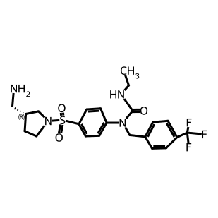 CCNC(=O)N(Cc1ccc(C(F)(F)F)cc1)c1ccc(S(=O)(=O)N2CC[C@H](CN)C2)cc1